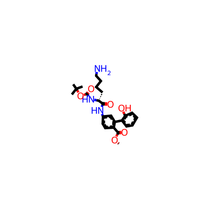 COC(=O)c1ccc(NC(=O)[C@@H](CCCCN)NC(=O)OC(C)(C)C)cc1-c1ccccc1O